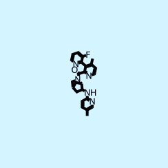 Cc1ccc(NC2CC3CC2N(C(=O)c2nccc(C)c2-c2ncccc2F)C3)nc1